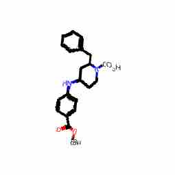 CC(C)(C)OC(=O)c1ccc(NC2CCN(C(=O)O)C(Cc3ccccc3)C2)cc1